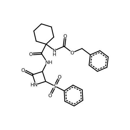 O=C(NC1(C(=O)NC2C(=O)NC2S(=O)(=O)c2ccccc2)CCCCC1)OCc1ccccc1